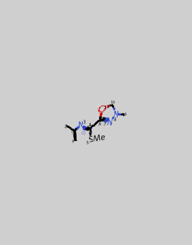 C=C(C)/N=C(\SC)C1=NN(C)CO1